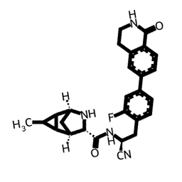 CC1C2C1[C@H]1C[C@@H]2N[C@@H]1C(=O)N[C@H](C#N)Cc1ccc(-c2ccc3c(c2)CCNC3=O)cc1F